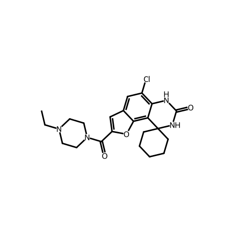 CCN1CCN(C(=O)c2cc3cc(Cl)c4c(c3o2)C2(CCCCC2)NC(=O)N4)CC1